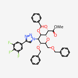 COC(=O)[C@@H](O)[C@@H]1OC(COCc2ccccc2)[C@H](OCc2ccccc2)C(n2cc(-c3cc(F)c(F)c(F)c3)nn2)C1OCc1ccccc1